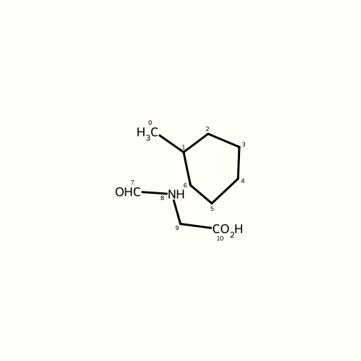 CC1CCCCC1.O=CNCC(=O)O